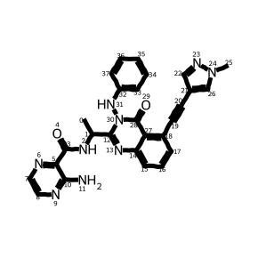 CC(NC(=O)c1nccnc1N)c1nc2cccc(C#Cc3cnn(C)c3)c2c(=O)n1Nc1ccccc1